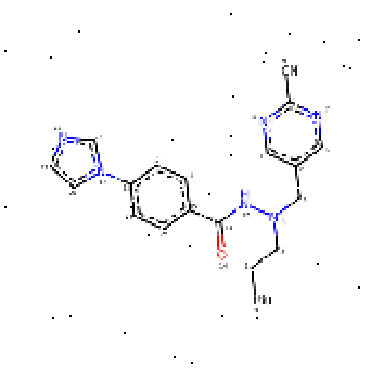 CC(C)(C)CCN(Cc1cnc(C#N)nc1)NC(=O)c1ccc(-n2ccnc2)cc1